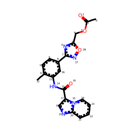 CC(=O)OCc1nc(-c2ccc(C)c(NC(=O)c3cnc4ccccn34)c2)no1